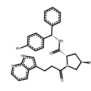 CC(C)c1ccc([C@@H](NC(=O)[C@@H]2C[C@@H](F)CN2C(=O)CCc2c[nH]c3ncccc23)c2ccccc2)cc1